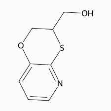 OCC1COc2cccnc2S1